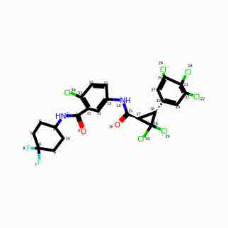 O=C(NC1CCC(F)(F)CC1)c1cc(NC(=O)[C@H]2[C@H](c3cc(Cl)c(Cl)c(Cl)c3)C2(Cl)Cl)ccc1Cl